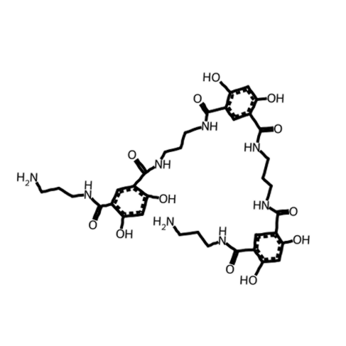 NCCCNC(=O)c1cc(C(=O)NCCCNC(=O)c2cc(C(=O)NCCCNC(=O)c3cc(C(=O)NCCCN)c(O)cc3O)c(O)cc2O)c(O)cc1O